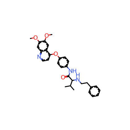 COc1cc2nccc(Oc3ccc(NC(=O)C(NCCc4ccccc4)C(C)C)cc3)c2cc1OC